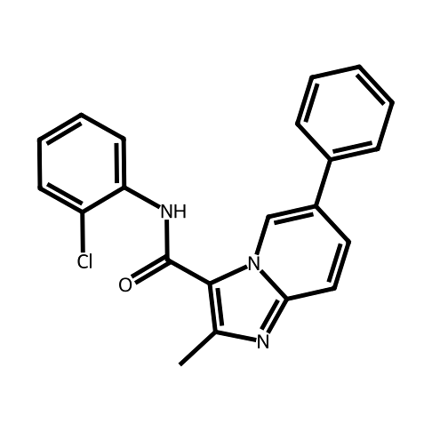 Cc1nc2ccc(-c3ccccc3)cn2c1C(=O)Nc1ccccc1Cl